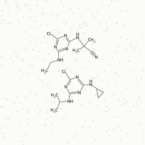 CC(C)Nc1nc(Cl)nc(NC2CC2)n1.CCNc1nc(Cl)nc(NC(C)(C)C#N)n1